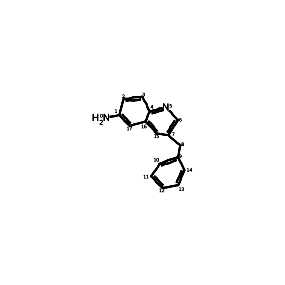 Nc1ccc2ncc(Cc3ccccc3)cc2c1